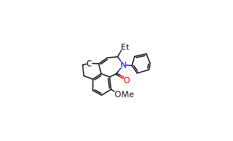 CCC1C=C2CCCc3ccc(OC)c(c32)C(=O)N1c1ccccc1